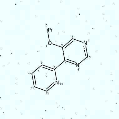 CC(C)Oc1cn[c]nc1-c1ccccn1